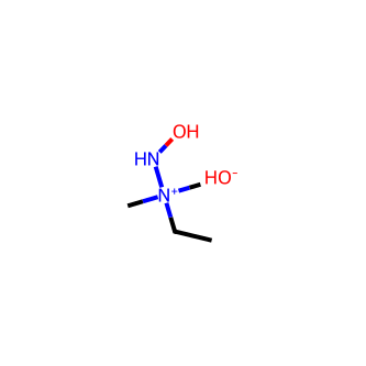 CC[N+](C)(C)NO.[OH-]